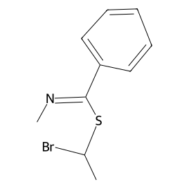 C/N=C(\SC(C)Br)c1ccccc1